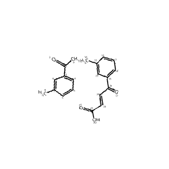 CC(=O)c1cccc(C)c1.Cc1cccc(C(=O)C=CC(=O)O)c1